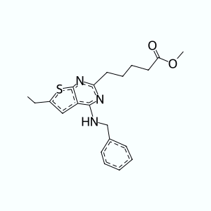 CCc1cc2c(NCc3ccccc3)nc(CCCCC(=O)OC)nc2s1